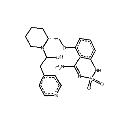 NC1=NS(=O)(=O)Nc2cccc(OC[C@H]3CCCCN3C(O)Cc3ccncc3)c21